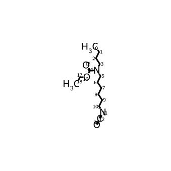 CCCCN(CCCCC[CH]N=C=O)C(=O)OCC